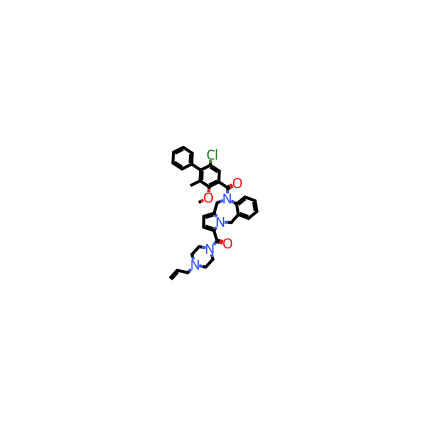 C=CCN1CCN(C(=O)c2ccc3n2Cc2ccccc2N(C(=O)c2cc(Cl)c(-c4ccccc4)c(C)c2OC)C3)CC1